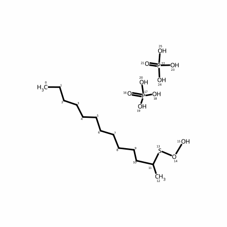 CCCCCCCCCCCC(C)SOO.O=P(O)(O)O.O=P(O)(O)O